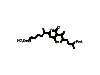 CCCCC/C(C)=C\C=C(/C)C(=O)c1c(O)cc(C(C)CC/C=C/NC(=O)O)oc1=O